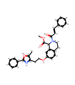 COC(=O)C1c2cc(OCCc3nc(-c4ccccc4)oc3C)ccc2CCN1C(=O)C=Cc1ccccc1